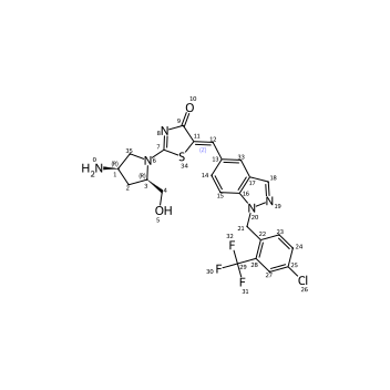 N[C@@H]1C[C@H](CO)N(C2=NC(=O)/C(=C/c3ccc4c(cnn4Cc4ccc(Cl)cc4C(F)(F)F)c3)S2)C1